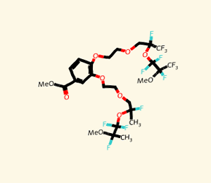 COC(=O)c1ccc(OCCOCC(F)(OC(F)(F)C(F)(OC)C(F)(F)F)C(F)(F)F)c(OCCOCC(C)(F)OC(F)(F)C(C)(F)OC)c1